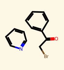 O=C(CBr)c1ccccc1.c1ccncc1